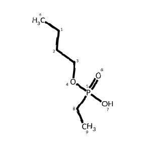 CCCCOP(=O)(O)CC